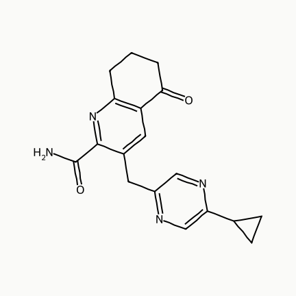 NC(=O)c1nc2c(cc1Cc1cnc(C3CC3)cn1)C(=O)CCC2